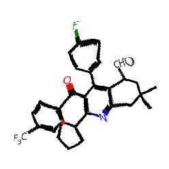 CC1(C)Cc2nc(C3CCCC3)c(C(=O)c3ccc(C(F)(F)F)cc3)c(-c3ccc(F)cc3)c2C(C=O)C1